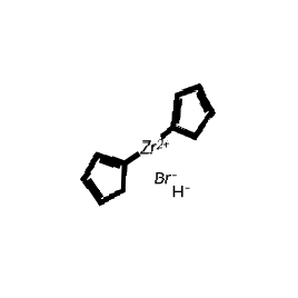 C1=CC[C]([Zr+2][C]2=CC=CC2)=C1.[Br-].[H-]